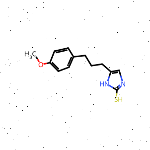 COc1ccc(CCCc2cnc(S)[nH]2)cc1